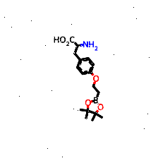 CC1(C)OB(CCOc2ccc(CC(N)C(=O)O)cc2)OC1(C)C